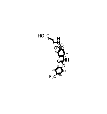 O=C(O)CCCNS(=O)(=O)c1ccc(NC(=O)Nc2ccc(C(F)(F)F)cc2)cc1